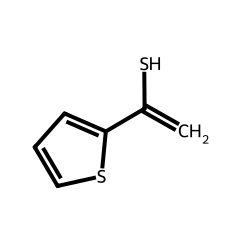 C=C(S)c1cccs1